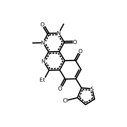 CCc1nc2c(c3c1C(=O)C(c1sccc1Cl)=CC3=O)c(=O)n(C)c(=O)n2C